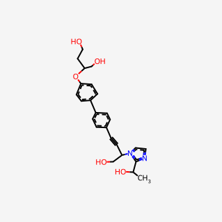 CC(O)c1nccn1C(C#Cc1ccc(-c2ccc(OC(CO)CCO)cc2)cc1)CO